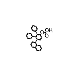 O=C(O)Oc1ccc(-c2cccc3ccccc23)c(-c2ccccc2)c1-c1ccccc1